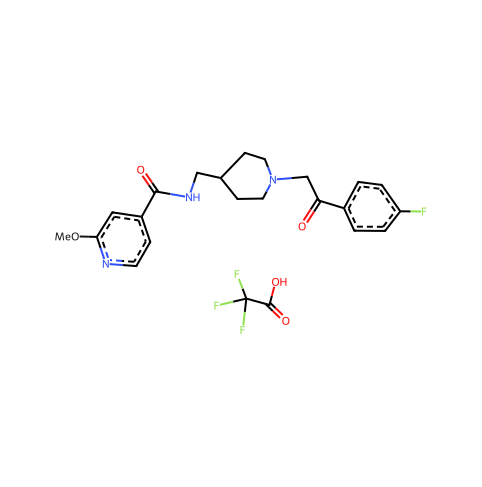 COc1cc(C(=O)NCC2CCN(CC(=O)c3ccc(F)cc3)CC2)ccn1.O=C(O)C(F)(F)F